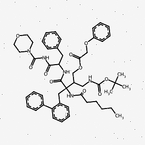 CCCCCC(=O)NC(Cc1ccccc1-c1ccccc1)(C(=O)NC(Cc1ccccc1)C(=O)NC(=O)N1CCOCC1)C(CNC(=O)OC(C)(C)C)COC(=O)COc1ccccc1